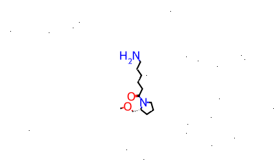 COC[C@H]1CCCN1C(=O)CCCCCN